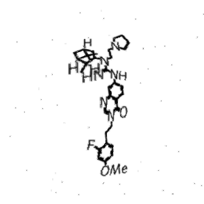 COc1ccc(CCn2cnc3cc(NC(=N)N(CCN4CCCC4)C4C[C@@H]5C[C@H]([C@@H]4C)C5(C)C)ccc3c2=O)c(F)c1